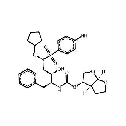 Nc1ccc(S(=O)(=O)N(C[C@@H](O)[C@H](Cc2ccccc2)NC(=O)O[C@H]2CO[C@H]3OCC[C@H]32)OC2CCCC2)cc1